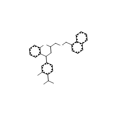 Cc1cc(C2CC(CNCc3cccc4ccccc34)Oc3ccccc32)ccc1C(C)C